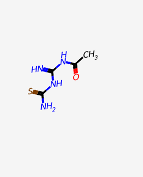 CC(=O)NC(=N)NC(N)=S